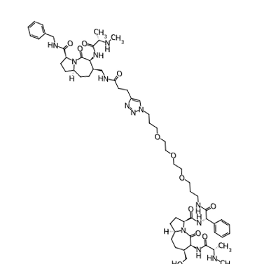 CN[C@@H](C)C(=O)N[C@@H]1C(=O)N2[C@@H](CC[C@@H]1CNC(=O)CCc1cn(CCCOCCOCCOCCCNC(=O)[C@@H](NC(=O)[C@@H]3CC[C@@H]4CC[C@H](CO)[C@H](NC(=O)[C@H](C)NC)C(=O)N43)c3ccccc3)nn1)CC[C@H]2C(=O)NCc1ccccc1